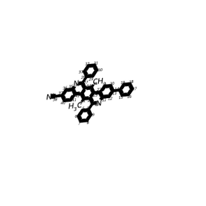 Cc1c2c(-c3ccccc3)nc3cc(-c4ccccc4)ccc3c2c(C)c2c(-c3ccccc3)nc3cc(C#N)ccc3c12